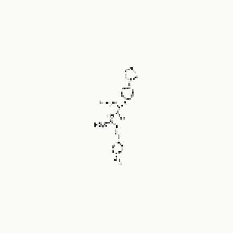 CC(=O)SCC(Cc1ccc(-c2ccccc2)cc1)C(=O)N[C@@H](CSCc1ccc(C)cc1)C(=O)O